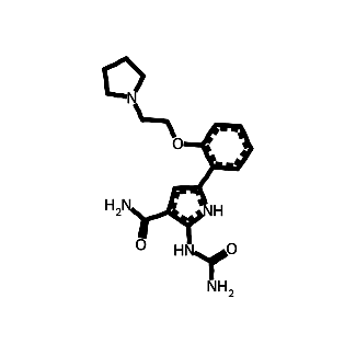 NC(=O)Nc1[nH]c(-c2ccccc2OCCN2CCCC2)cc1C(N)=O